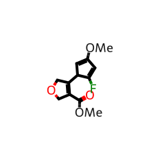 COC(=O)C1=C(C2C=C(OC)C=C2F)COC1